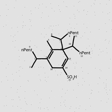 CCCCCC(C)C1=C(C)C(C(C)CCCCC)(C(C)CCCCC)C=C(S(=O)(=O)O)C1